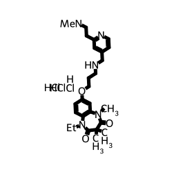 CCN1C(=O)C(C)(C)C(=O)N(C)c2cc(OCCCNCc3ccnc(CCNC)c3)ccc21.Cl.Cl.Cl